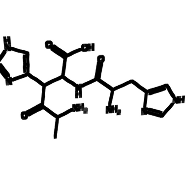 CC(N)C(=O)C(c1c[nH]cn1)C(NC(=O)C(N)Cc1c[nH]cn1)C(=O)O